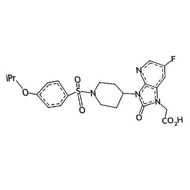 CC(C)Oc1ccc(S(=O)(=O)N2CCC(n3c(=O)n(CC(=O)O)c4cc(F)cnc43)CC2)cc1